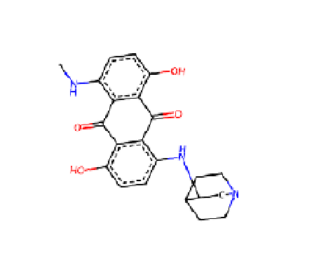 CNc1ccc(O)c2c1C(=O)c1c(O)ccc(NC3CN4CCC3CC4)c1C2=O